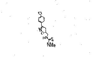 CNC(=S)NCC1CC(c2ccc(Cl)cc2)=NO1